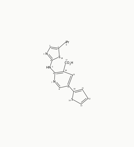 CC(C)c1cnc(Nc2ncc(-c3cccs3)cc2C(=O)O)s1